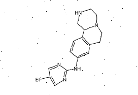 CCc1cnc(Nc2ccc3c(c2)CCN2CCNCC32)nc1